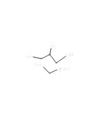 CCCCCCC=O.OCC(O)CO